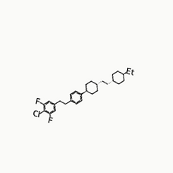 CC[C@H]1CC[C@H](CC[C@H]2CC[C@H](c3ccc(CCc4cc(F)c(Cl)c(F)c4)cc3)CC2)CC1